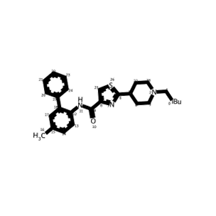 CCC(C)CN1CCC(c2nc(C(=O)Nc3ccc(C)cc3-c3ccccc3)cs2)CC1